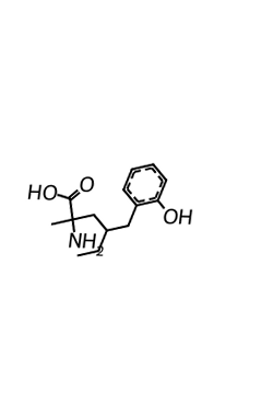 CCC(Cc1ccccc1O)CC(C)(N)C(=O)O